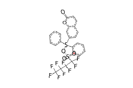 O=c1ccc2ccc(S(OS(=O)(=O)C(F)(F)C(F)(F)C(F)(F)C(F)(F)F)(c3ccccc3)c3ccccc3)cc2o1